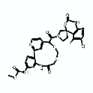 COC(=O)Nc1ccc2c(c1)NC(=O)CCCCC(C(=O)N1CC[C@@]3(C1)OC(=O)Nc1ccc(Cl)c(F)c13)c1ccnc-2c1